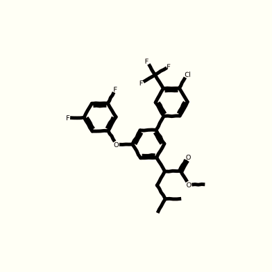 COC(=O)C(CC(C)C)c1cc(Oc2cc(F)cc(F)c2)cc(-c2ccc(Cl)c(C(F)(F)F)c2)c1